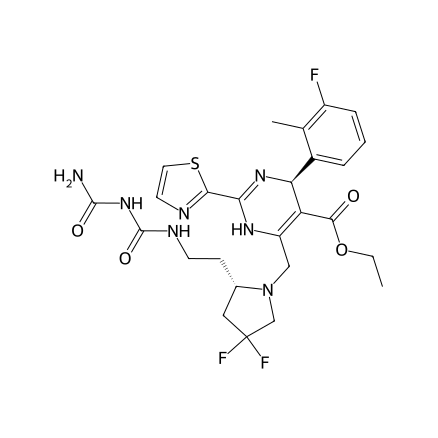 CCOC(=O)C1=C(CN2CC(F)(F)C[C@@H]2CCNC(=O)NC(N)=O)NC(c2nccs2)=N[C@H]1c1cccc(F)c1C